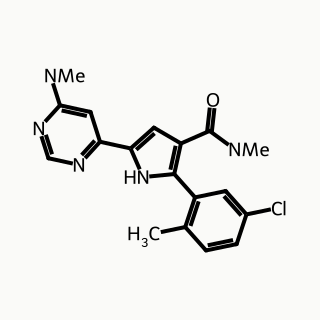 CNC(=O)c1cc(-c2cc(NC)ncn2)[nH]c1-c1cc(Cl)ccc1C